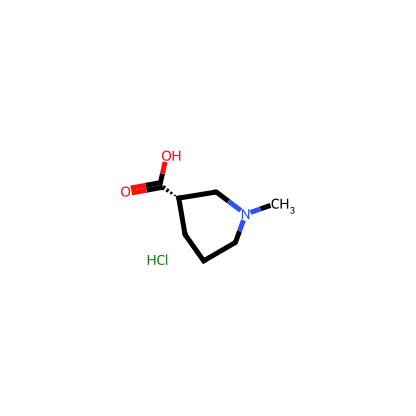 CN1CCC[C@H](C(=O)O)C1.Cl